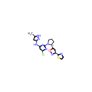 Cc1cc(Nc2cc(Cl)nc(N3CCC[C@H]3c3cc(-c4nccs4)no3)n2)n[nH]1